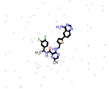 CC(NC(=O)c1nc(C#N)cnc1NCc1ccc(-c2ccc3ncnc(N)c3c2)s1)c1ccc(F)c(F)c1